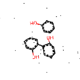 Oc1ccccc1.Oc1ccccc1-c1ccccc1O